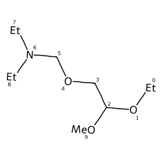 CCOC(COCN(CC)CC)OC